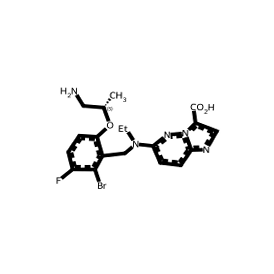 CCN(Cc1c(O[C@@H](C)CN)ccc(F)c1Br)c1ccc2ncc(C(=O)O)n2n1